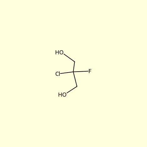 OCC(F)(Cl)CO